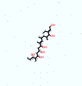 CC/C(=C\CO)C(O)C(C)CC(C)/C=C(\C)C(O)C[C@H](O)CC(O)C(C)[C@@H](O)CC